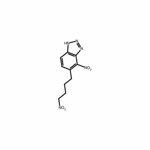 O=[N+]([O-])CCCCc1ccc2[nH]nnc2c1[N+](=O)[O-]